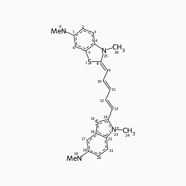 CNc1ccc2c(c1)S\C(=C/C=C/C=C/c1sc3cc(NC)ccc3[n+]1C)N2C